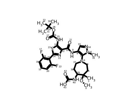 COC1(C)CCN(c2c(NC(=O)c3nc(-c4c(F)cccc4F)sc3NC(=O)OC(C)(C)C)cnn2C)CCC1NC(=O)O